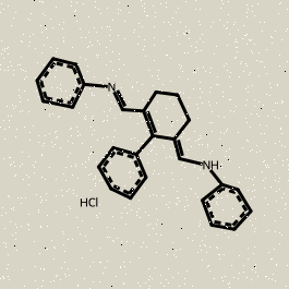 C(=N\c1ccccc1)/C1=C(c2ccccc2)C(=C/Nc2ccccc2)/CCC1.Cl